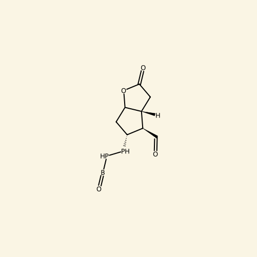 O=BPP[C@@H]1CC2OC(=O)C[C@@H]2[C@H]1C=O